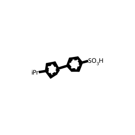 CC(C)c1ccc(-c2ccc(S(=O)(=O)O)cc2)cc1